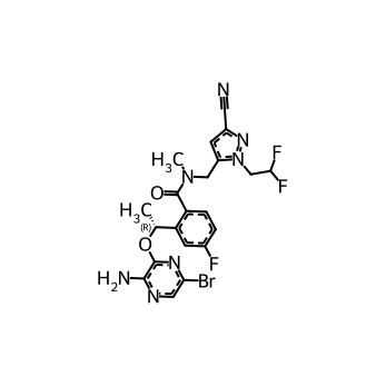 C[C@@H](Oc1nc(Br)cnc1N)c1cc(F)ccc1C(=O)N(C)Cc1cc(C#N)nn1CC(F)F